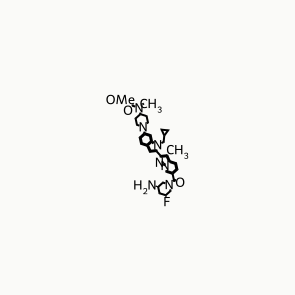 COC(=O)N(C)C1CCN(c2ccc3cc(-c4nn5cc(C(=O)N6C[C@H](N)C[C@@H](F)C6)ccc5c4C)n(CC4CC4)c3c2)CC1